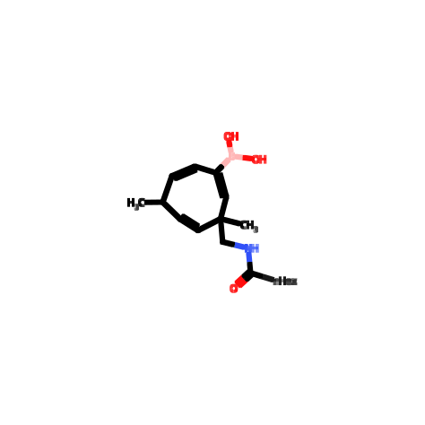 CCCCCCC(=O)NCC1(C)/C=C\C(C)/C=C\C(B(O)O)=C/1